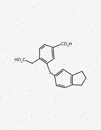 O=C(O)Cc1ccc(C(=O)O)cc1Sc1ccc2c(c1)CCC2